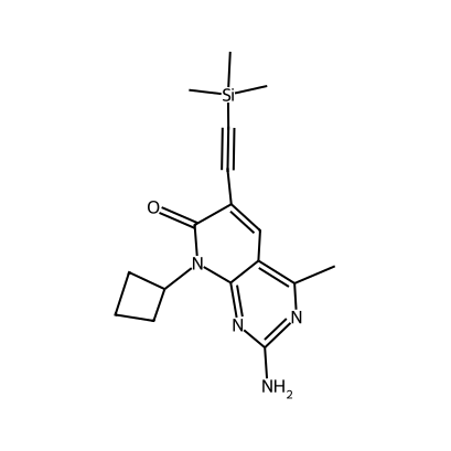 Cc1nc(N)nc2c1cc(C#C[Si](C)(C)C)c(=O)n2C1CCC1